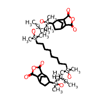 C[Si](C)(CCCCCCCC[Si](C)(C)O[Si](C)(C)O[Si](C)(C)C1CC2CC1C1C(=O)OC(=O)C21)O[Si](C)(C)O[Si](C)(C)C1CC2CC1C1C(=O)OC(=O)C21